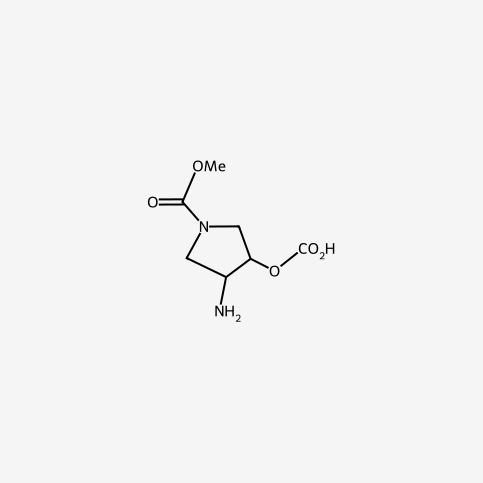 COC(=O)N1CC(N)C(OC(=O)O)C1